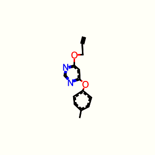 C#CCOc1cc(Oc2ccc(C)cc2)ncn1